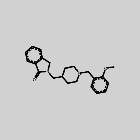 COc1ccccc1CN1CCC(CN2Cc3ccccc3C2=O)CC1